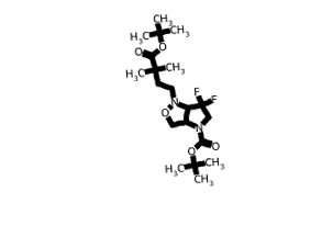 CC(C)(C)OC(=O)N1CC(F)(F)C2C1CON2CCC(C)(C)C(=O)OC(C)(C)C